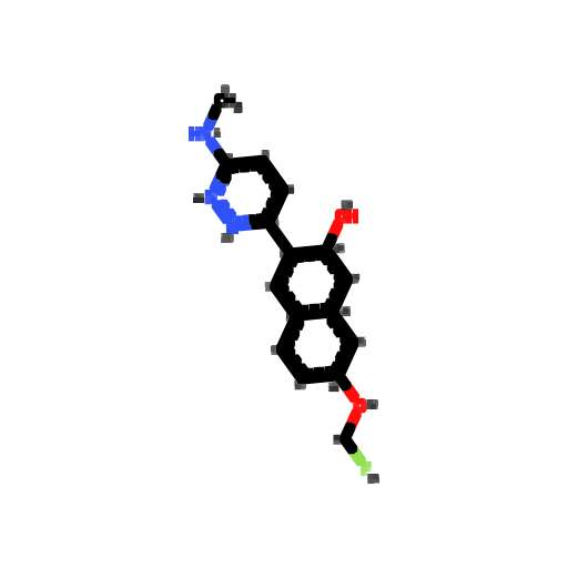 CNc1ccc(-c2cc3ccc(OCF)cc3cc2O)nn1